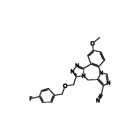 COc1ccc2c(c1)-c1nnc(COCc3ccc(F)cc3)n1Cc1c(C#N)ncn1-2